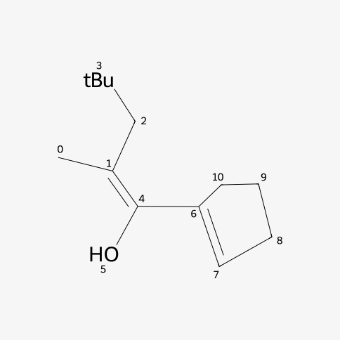 CC(CC(C)(C)C)=C(O)C1=CCCC1